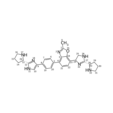 Cc1nc2c(-c3ccc(-c4c[nH]c([C@@H]5CCCN5)n4)cc3)ccc(C3CNC([C@@H]4CCCN4)=N3)c2o1